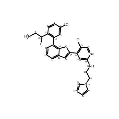 NC[C@H](F)c1ccc(Cl)cc1-c1cccc2cc(-c3nc(NCCn4ccnn4)ncc3F)sc12